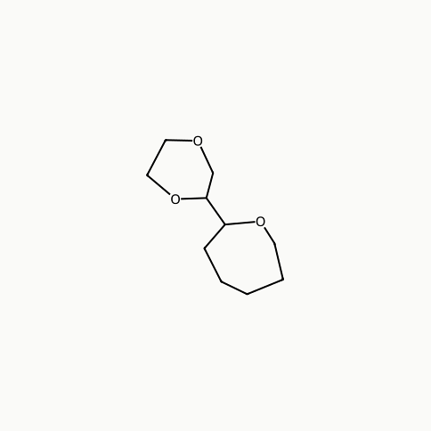 C1CCOC(C2COCCO2)CC1